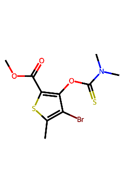 COC(=O)c1sc(C)c(Br)c1OC(=S)N(C)C